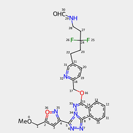 COCc1cc(-c2nnc3c4ccccc4c(OCc4ccc(CCC(F)(F)CCNC=O)cn4)nn23)no1